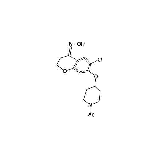 CC(=O)N1CCC(Oc2cc3c(cc2Cl)/C(=N\O)CCO3)CC1